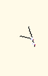 C=CC(=O)NCCC(=O)N(CCCCCCCCCC)CCCCCCCCCC